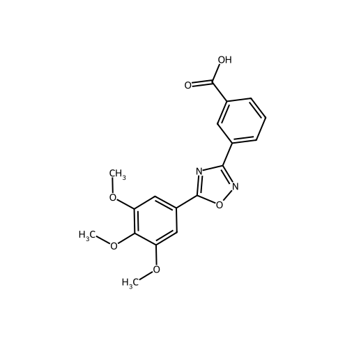 COc1cc(-c2nc(-c3cccc(C(=O)O)c3)no2)cc(OC)c1OC